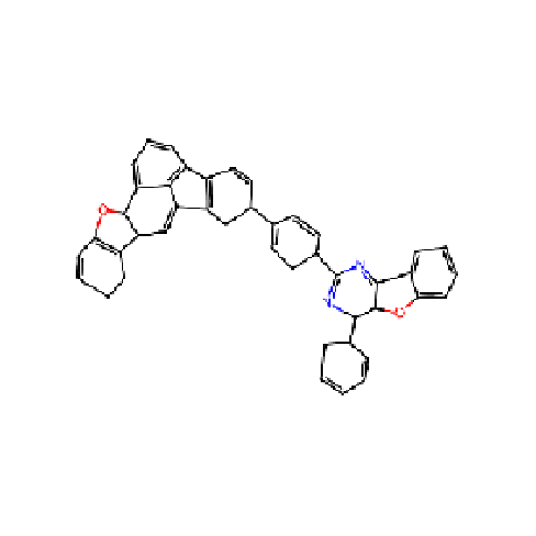 C1=CCC(C2N=C(C3C=CC(C4C=CC5=C(C4)C4=CC6C7=C(C=CCC7)OC6c6cccc5c64)=CC3)N=C3c4ccccc4OC32)C=C1